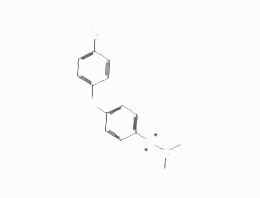 CN(C)S(=O)(=O)c1ccc(Oc2ccc(N)cc2)cc1